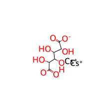 O=C([O-])C(O)C(O)C(O)C(O)C(=O)[O-].[Cs+].[Cs+]